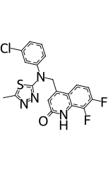 Cc1nnc(N(Cc2cc(=O)[nH]c3c(F)c(F)ccc23)c2cccc(Cl)c2)s1